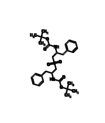 CC(C)(C)OC(=O)NC(Cc1ccccc1)CS(=O)(=O)CC(Cc1ccccc1)NC(=O)OC(C)(C)C